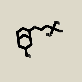 CC1CC2CCC(OCCC(C)(C)O)C(C1)C2